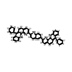 c1ccc(-c2c3ccccc3nc3c2ccc2ccc(-c4ccc5nc(-c6ccc7ccc8c(-c9ccccc9)c9ccccc9nc8c7n6)ccc5c4)nc23)cc1